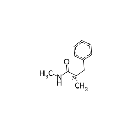 CNC(=O)[C@@H](C)Cc1ccccc1